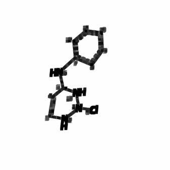 ClN1NC=C[C](Nc2ccccc2)N1